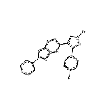 CCn1cc(-c2ncc3cc(-c4ccccc4)oc3n2)c(-c2ccc(F)cc2)n1